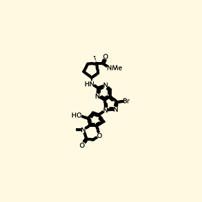 CNC(=O)[C@]1(C)CC[C@@H](Nc2ncc3c(Br)nn(-c4cc(O)c5c(c4)OCC(=O)N5C)c3n2)C1